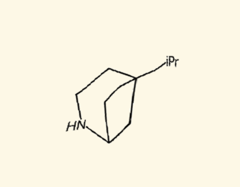 CC(C)C12CCNC(C1)C2